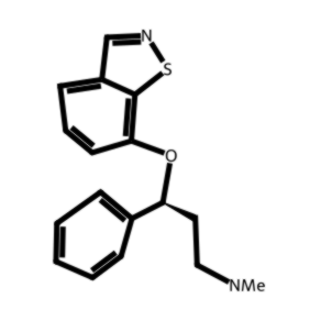 CNCC[C@H](Oc1cccc2cnsc12)c1ccccc1